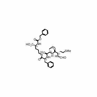 CSCC[C@H](NC=O)C(=O)N[C@@H](CC(C)C)C(=O)N[C@@H](Cc1ccccc1)C(=O)NCCC[C@H](NC(=O)OCc1ccccc1)C(=O)O